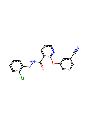 N#Cc1cccc(Oc2ncccc2C(=O)NCc2ccccc2Cl)c1